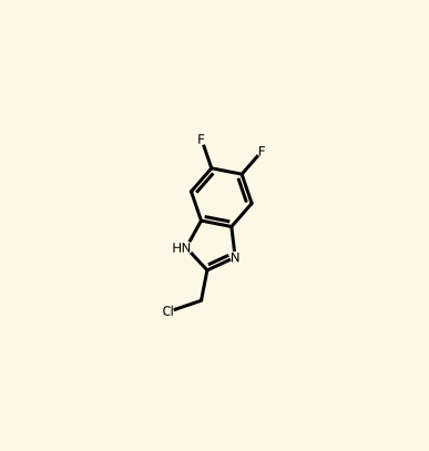 Fc1cc2nc(CCl)[nH]c2cc1F